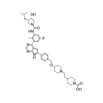 Cc1c(NC(=O)N2C[C@@H](CC(C)C)[C@H](O)C2)cc(F)cc1-c1ncnc2[nH]c(-c3ccc(COC4CCN(CCC5CCN(C(=O)O)CC5)CC4)cc3)cc12